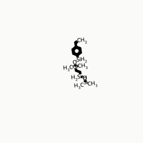 C=Cc1ccc([SiH2]O[Si](C)(C)CC[SiH2]O[SiH](C)C)cc1